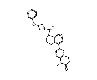 CN1C(=O)CCc2cc(-c3cncc4c3CCCC4C(=O)N3CC(Oc4ccccc4)C3)ccc21